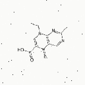 CCn1cc(C(=O)O)c(=O)c2cnc(C)nc21